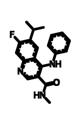 CNC(=O)c1cnc2cc(F)c(C(C)C)cc2c1Nc1ccccc1